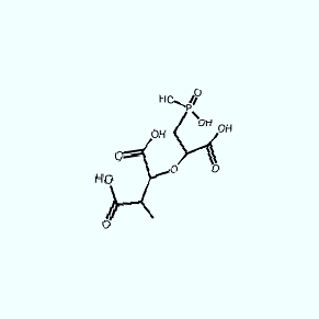 CC(C(=O)O)C(OC(CP(=O)(O)O)C(=O)O)C(=O)O